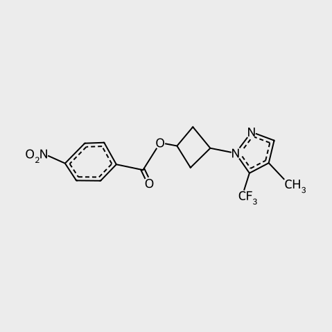 Cc1cnn(C2CC(OC(=O)c3ccc([N+](=O)[O-])cc3)C2)c1C(F)(F)F